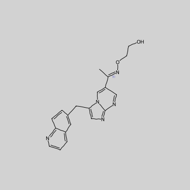 C/C(=N\OCCO)c1cnc2ncc(Cc3ccc4ncccc4c3)n2c1